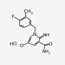 Cc1cc(Cn2cc(Cl)cc(C(N)=O)c2=N)ccc1F.Cl